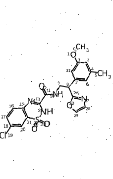 COc1cc(C)cc(C(CNC(=O)C2=Nc3ccc(Cl)cc3S(=O)(=O)N2)c2ncco2)c1